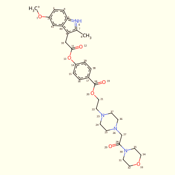 COc1ccc2[nH]c(C)c(CC(=O)Oc3ccc(C(=O)OCCN4CCN(CC(=O)N5CCOCC5)CC4)cc3)c2c1